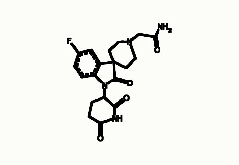 NC(=O)CN1CCC2(CC1)C(=O)N(C1CCC(=O)NC1=O)c1ccc(F)cc12